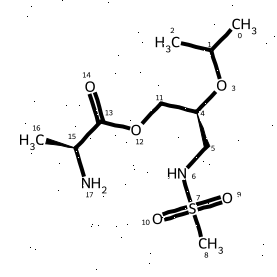 CC(C)O[C@@H](CNS(C)(=O)=O)COC(=O)[C@H](C)N